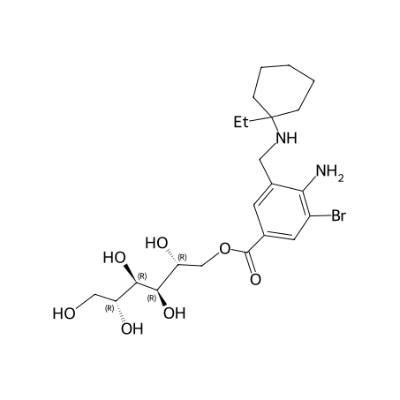 CCC1(NCc2cc(C(=O)OC[C@@H](O)[C@@H](O)[C@H](O)[C@H](O)CO)cc(Br)c2N)CCCCC1